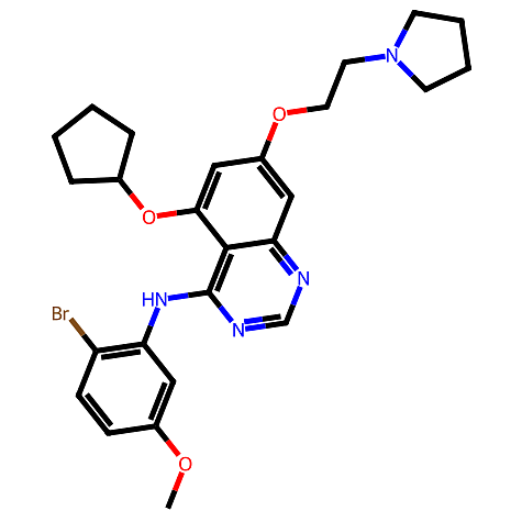 COc1ccc(Br)c(Nc2ncnc3cc(OCCN4CCCC4)cc(OC4CCCC4)c23)c1